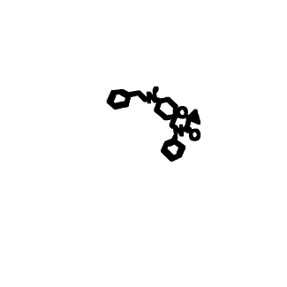 CN(CCc1ccccc1)C1CCC2(CC1)CN(c1ccccc1)C(=O)C1(CC1)O2